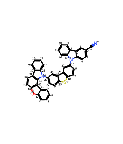 N#Cc1ccc2c(c1)c1ccccc1n2-c1ccc2sc3ccc(-n4c5ccccc5c5ccc6oc7ccccc7c6c54)cc3c2c1